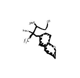 CNC(CO)C(O)(c1ccc2occc2c1)C(F)(F)F